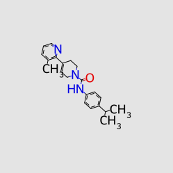 Cc1cccnc1C1=CCN(C(=O)Nc2ccc(C(C)C)cc2)CC1